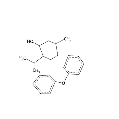 CC1CCC(C(C)C)C(O)C1.c1ccc(Oc2ccccc2)cc1